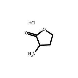 Cl.NC1CCOC1=O